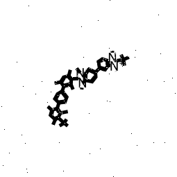 Cc1cc(C)c(-c2n(C)c3ccc(-c4ccc5c(c4)[n+](C)c(C(C)(C)C)n5C)cc3[n+]2C)c(C)c1-c1ccc(-c2c(C)cc(C)c(C(C)(C)C)c2C)cc1